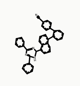 N#Cc1ccc(-c2ccccc2-c2cccc3c(C4N=C(c5ccccc5)N=C(c5ccccc5)N4)cccc23)cc1